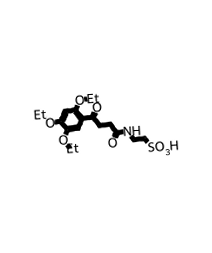 CCOc1cc(OCC)c(C(=O)CCC(=O)NCCS(=O)(=O)O)cc1OCC